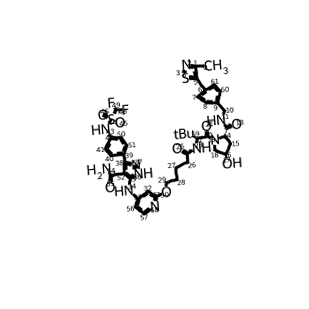 Cc1ncsc1-c1ccc(CNC(=O)[C@@H]2C[C@@H](O)CN2C(=O)[C@@H](NC(=O)CCCCOc2cc(Nc3[nH]nc(-c4ccc(NS(=O)(=O)C(F)F)cc4)c3C(N)=O)ccn2)C(C)(C)C)cc1